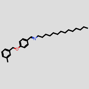 CCCCCCCCCCCCCCN=Cc1ccc(OCc2cccc(C)c2)cc1